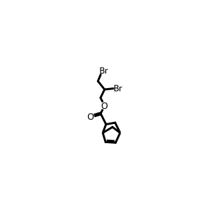 O=C(OCC(Br)CBr)C1CC2C=CC1C2